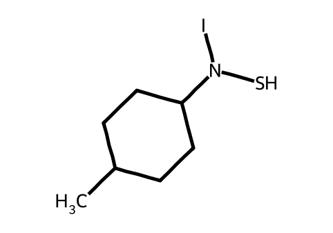 CC1CCC(N(S)I)CC1